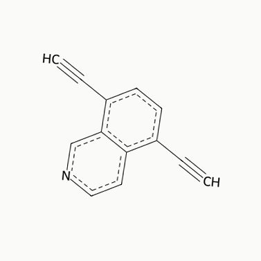 C#Cc1ccc(C#C)c2cnccc12